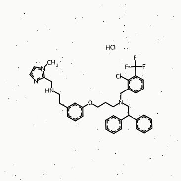 Cl.Cn1ccnc1CNCCc1cccc(OCCCN(Cc2cccc(C(F)(F)F)c2Cl)CC(c2ccccc2)c2ccccc2)c1